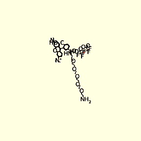 CN(C)c1ccc2c(-c3cc(C(=O)NCCOCCOCCOCCOCCOCCN)ccc3C(=O)O)c3ccc(=[N+](C)C)cc-3oc2c1.O=C(O)C(F)(F)F.O=C([O-])C(F)(F)F